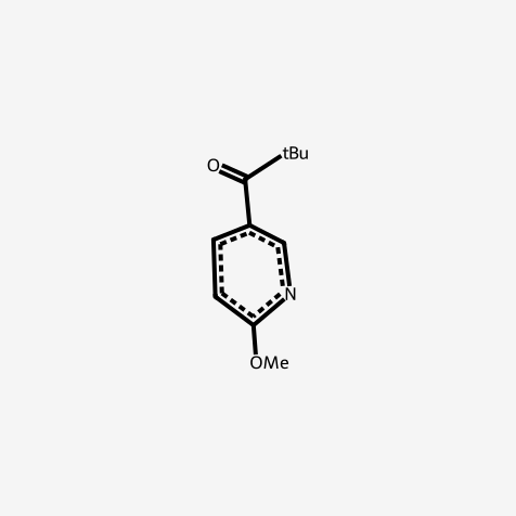 COc1ccc(C(=O)C(C)(C)C)cn1